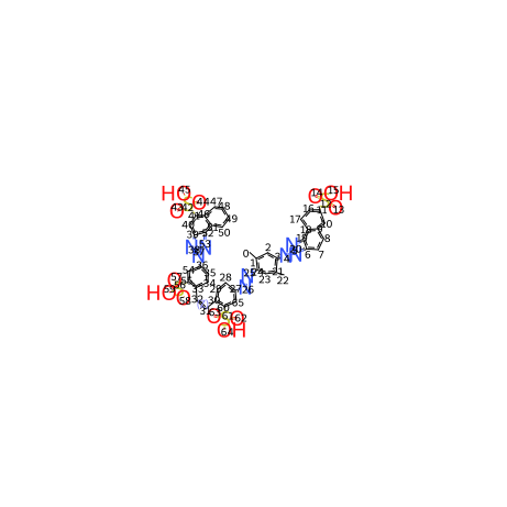 Cc1cc(-n2n3c4ccc5cc(S(=O)(=O)O)ccc5c4n23)c(C)cc1N=Nc1ccc(/C=C\c2ccc(-n3n4c5cc(S(=O)(=O)O)c6ccccc6c5n34)cc2S(=O)(=O)O)c(S(=O)(=O)O)c1